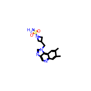 Cc1cc2ncc3ncn(CC4CN(S(N)(=O)=O)C4)c3c2cc1C